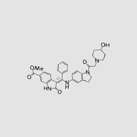 COC(=O)c1ccc2c(c1)NC(=O)/C2=C(\Nc1ccc2c(c1)CCN2C(=O)CN1CCC(O)CC1)c1ccccc1